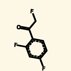 O=C(CF)c1ccc(F)cc1F